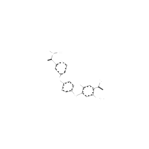 COc1cc(Nc2ccc(Oc3ccnc(C(=O)N(C)C)c3)cc2)c(C(F)(F)F)cc1C([NH])=O